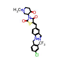 CN1CCC(=O)C(N2C(=O)S/C(=C\c3ccc4c(cnn4Cc4ccc(Cl)cc4C(F)(F)F)c3)C2=O)C1